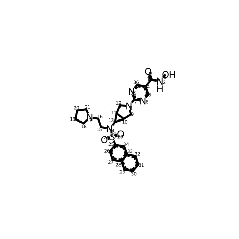 O=C(NO)c1cnc(N2CC3C(C2)C3N(CCN2CCCC2)S(=O)(=O)c2ccc3ccccc3c2)nc1